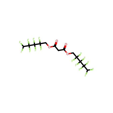 O=C(CC(=O)OCC(F)(F)C(F)(F)C(F)(F)C(F)F)OCC(F)(F)C(F)(F)C(F)(F)C(F)F